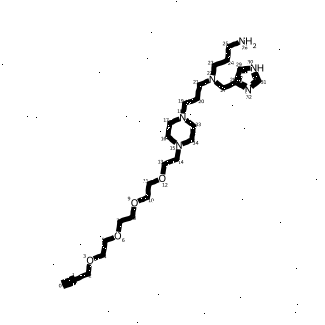 C#CCOCCOCCOCCOCCN1CCN(CCCN(CCCN)Cc2c[nH]cn2)CC1